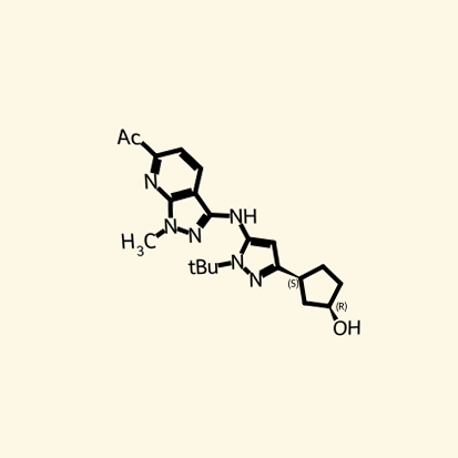 CC(=O)c1ccc2c(Nc3cc([C@H]4CC[C@@H](O)C4)nn3C(C)(C)C)nn(C)c2n1